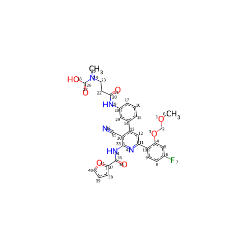 COCOc1cc(F)ccc1-c1cc(-c2cccc(NC(=O)CCN(C)C(=O)O)c2)c(C#N)c(NC(=O)c2ccco2)n1